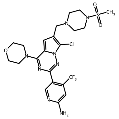 CS(=O)(=O)N1CCN(Cc2cc3c(N4CCOCC4)nc(-c4cnc(N)cc4C(F)(F)F)nn3c2Cl)CC1